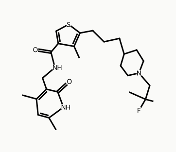 Cc1cc(C)c(CNC(=O)c2csc(CCCC3CCN(CC(C)(C)F)CC3)c2C)c(=O)[nH]1